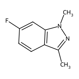 Cc1nn(C)c2cc(F)ccc12